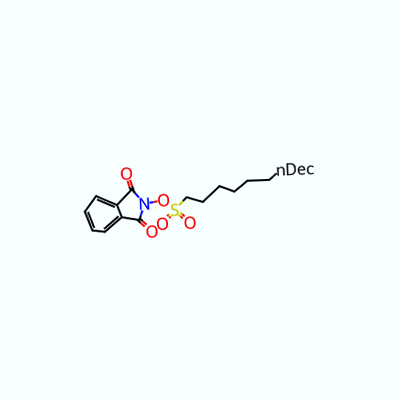 CCCCCCCCCCCCCCCCS(=O)(=O)ON1C(=O)c2ccccc2C1=O